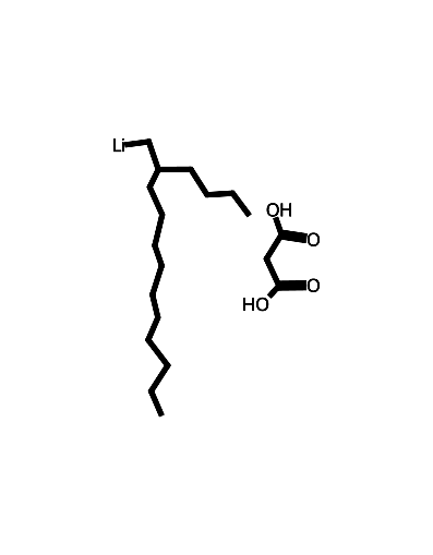 O=C(O)CC(=O)O.[Li][CH2]C(CCCC)CCCCCCCCCC